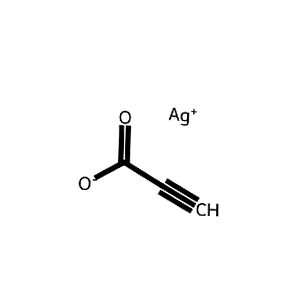 C#CC(=O)[O-].[Ag+]